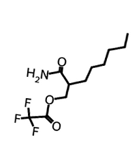 CCCCCCC(COC(=O)C(F)(F)F)C(N)=O